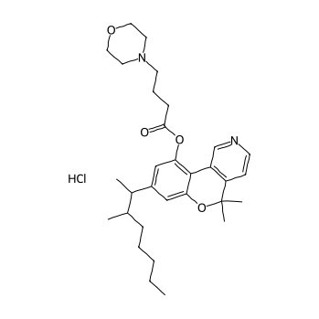 CCCCCC(C)C(C)c1cc(OC(=O)CCCN2CCOCC2)c2c(c1)OC(C)(C)c1ccncc1-2.Cl